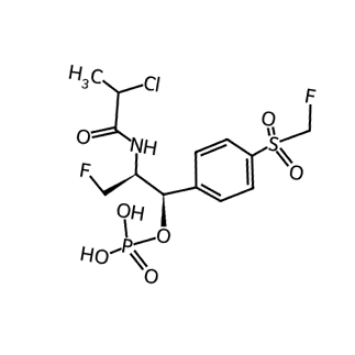 CC(Cl)C(=O)N[C@H](CF)[C@H](OP(=O)(O)O)c1ccc(S(=O)(=O)CF)cc1